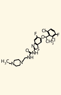 CCN1CCN(CCNC(=O)Nc2nc3cc(F)c(O[C@H](C)c4c(Cl)ccc(F)c4Cl)cc3s2)CC1